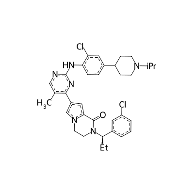 CC[C@H](c1cccc(Cl)c1)N1CCn2cc(-c3nc(Nc4ccc(C5CCN(C(C)C)CC5)cc4Cl)ncc3C)cc2C1=O